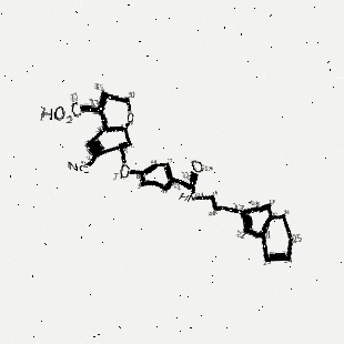 N#Cc1cc2c(cc1Oc1ccc(C(=O)NCCc3ccc4c(c3)C=CCC4)cc1)OCCC2C(=O)O